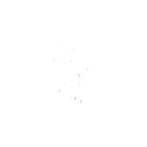 C[C@@H]1CC[C@]2(C)C3C(CC[C@@H]2C1)C1CCC2(OCCO2)[C@@]1(C)C[C@@H]3O